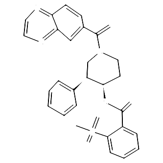 CS(=O)(=O)c1ccccc1C(=O)N[C@@H]1CCN(C(=O)c2ccc3nccnc3c2)C[C@@H]1c1ccccc1